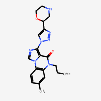 COCCn1c(=O)c2c(-n3cc(C4CNCCO4)nn3)ncn2c2ccc(C)cc21